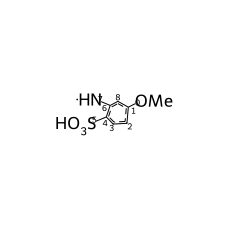 COc1ccc(S(=O)(=O)O)c([NH])c1